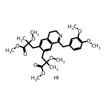 COC(=O)C(C)(Cc1cc2c(cc1CC(C)(OC)C(=O)OC)C(Cc1ccc(OC)c(OC)c1)=NCC2)OC.I